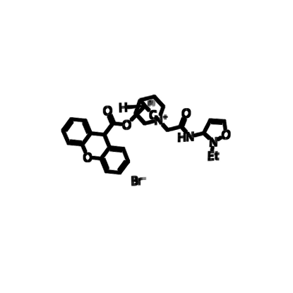 CCN1OC=CC1NC(=O)C[N+]12CCC(CC1)[C@@H](OC(=O)C1c3ccccc3Oc3ccccc31)C2.[Br-]